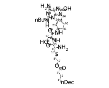 CCCCCCCCCCCCCC(=O)OCCSC[C@H](N)C(=O)N[C@@H](CO)C(=O)Nc1ccc(Cn2c(O)nc3c(N)nc(NCCCC)nc32)cc1